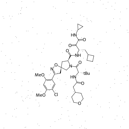 COc1cc(OC)c(C2=NO[C@]3(C2)C[C@@H](C(=O)N[C@@H](CC2CCC2)C(=O)C(=O)NC2CC2)N(C(=O)[C@@H](NC(=O)CC2CCOCC2)C(C)(C)C)C3)cc1Cl